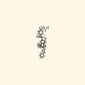 O=C(O)c1ccc(NC2CCc3cc4nc(COCc5ccccc5)[nH]c(=O)c4cc32)cc1